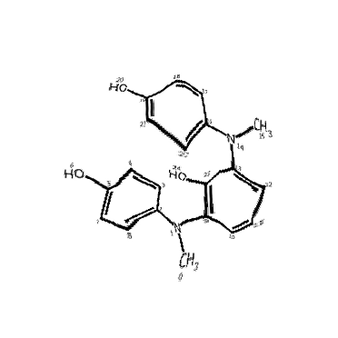 CN(c1ccc(O)cc1)c1cccc(N(C)c2ccc(O)cc2)c1O